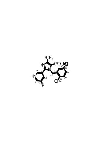 O=C(O)c1c(C(F)(F)F)nc(-c2cncc(F)c2)n1Cc1cc(Cl)ccc1Cl